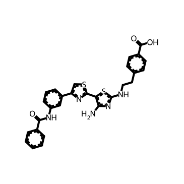 Nc1nc(NCCc2ccc(C(=O)O)cc2)sc1-c1nc(-c2cccc(NC(=O)c3ccccc3)c2)cs1